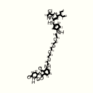 CCC(CC)c1cc(N[C@H]2CC[C@H](NCCOCCOCCOCCOCCNc3cccc4c3C(=O)N(C3CCC(=O)NC3=O)C4=O)C2)n2ncc(Cl)c2n1